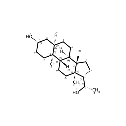 C[C@H](O)[C@H]1CC[C@H]2[C@@H]3CC[C@@H]4C[C@@H](O)CC[C@]4(C)[C@H]3CC[C@]12C